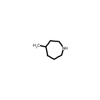 [CH2]C1CCCNCC1